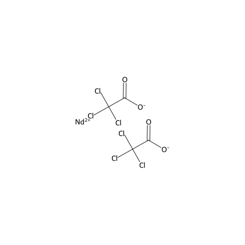 O=C([O-])C(Cl)(Cl)Cl.O=C([O-])C(Cl)(Cl)Cl.[Nd+2]